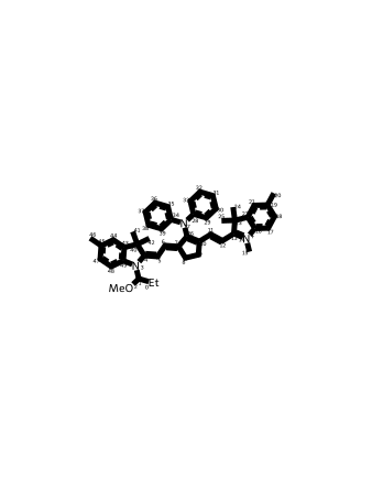 CCC(OC)N1/C(=C/C=C2\CCC(/C=C/C3=[N+](C)c4ccc(C)cc4C3(C)C)=C2N(c2ccccc2)c2ccccc2)C(C)(C)c2cc(C)ccc21